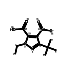 CCn1nc(C(C)(C)C)c([N+](=O)[O-])c1C(=O)O